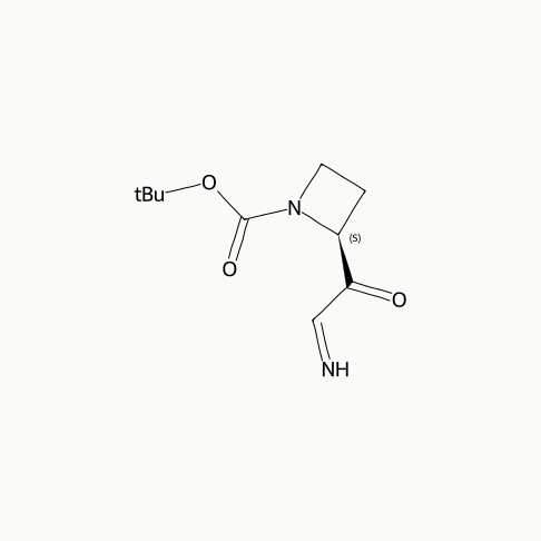 CC(C)(C)OC(=O)N1CC[C@H]1C(=O)C=N